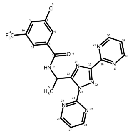 CC(NC(=O)c1cc(Cl)cc(C(F)(F)F)c1)c1nc(-c2ncccn2)nn1-c1ncccn1